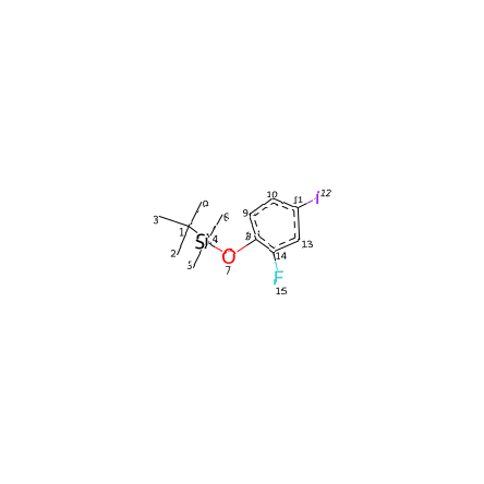 CC(C)(C)[Si](C)(C)Oc1ccc(I)cc1F